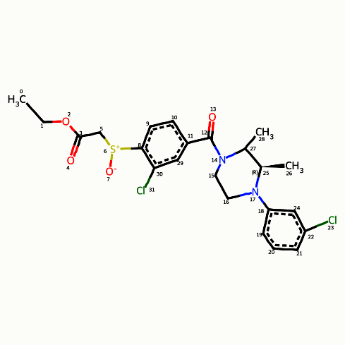 CCOC(=O)C[S+]([O-])c1ccc(C(=O)N2CCN(c3cccc(Cl)c3)[C@H](C)C2C)cc1Cl